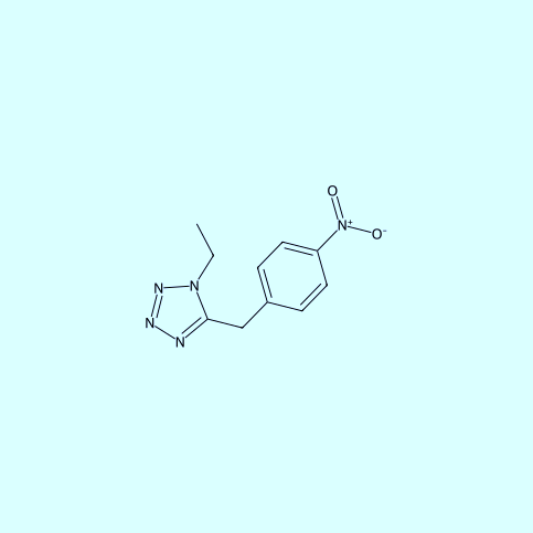 CCn1nnnc1Cc1ccc([N+](=O)[O-])cc1